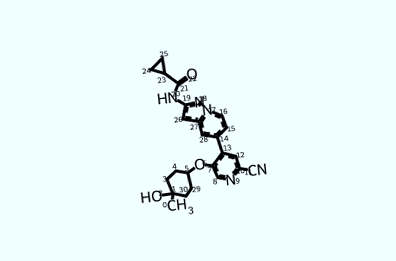 CC1(O)CCC(Oc2cnc(C#N)cc2-c2ccn3nc(NC(=O)C4CC4)cc3c2)CC1